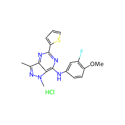 COc1ccc(Nc2nc(-c3cccs3)nc3c(C)nn(C)c23)cc1F.Cl